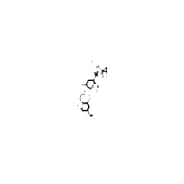 Cc1cc(C(=O)NC2(C#N)CC2)nnc1N1CCc2ncc(C(F)(F)F)cc2C1